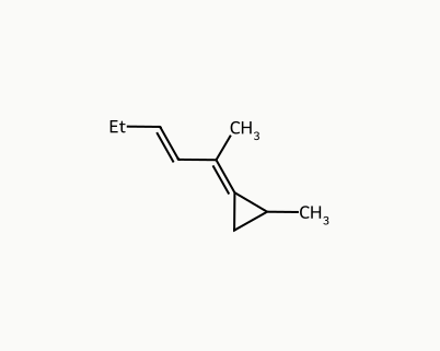 CCC=CC(C)=C1CC1C